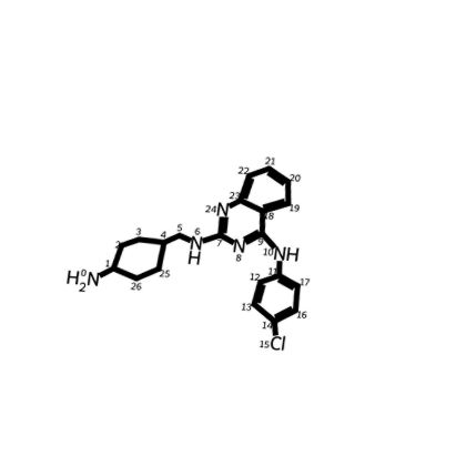 NC1CCC(CNc2nc(Nc3ccc(Cl)cc3)c3ccccc3n2)CC1